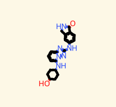 O=C1NCc2cc(Nc3nc4cccc(NC5CCC(O)CC5)n4n3)ccc21